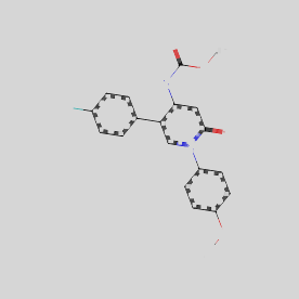 CC(C)OC(=O)Nc1cc(=O)n(-c2ccc(OC(F)(F)F)cc2)cc1-c1ccc(F)cc1